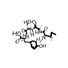 CC[C@H](C)[C@H](N)C(=O)N[C@@H](C)C(=O)N[C@@H](CO)C(=O)N[C@@H](Cc1ccc(O)cc1)C(=O)O